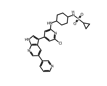 O=S(=O)(NC1CCC(Nc2cc(-c3c[nH]c4ncc(-c5cccnc5)cc34)cc(Cl)n2)CC1)C1CC1